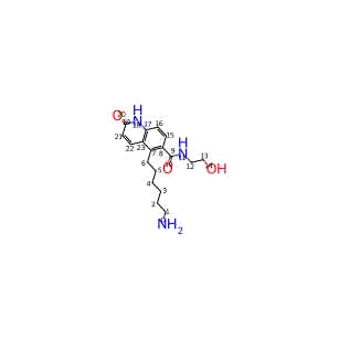 NCCCCCCc1c(C(=O)NCCO)ccc2[nH]c(=O)ccc12